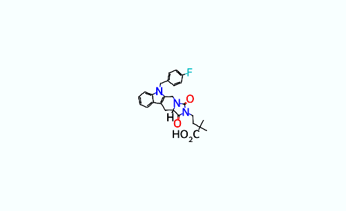 CC(C)(CCN1C(=O)[C@@H]2Cc3c(n(Cc4ccc(F)cc4)c4ccccc34)CN2C1=O)C(=O)O